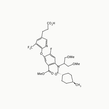 COCC(COC)N(c1cc(F)c(Oc2ncc(CCC(=O)O)cc2C(F)(F)F)cc1C(=O)OC)C(=O)[C@H]1CC[C@H](C)CC1